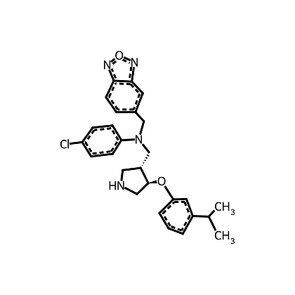 CC(C)c1cccc(O[C@H]2CNC[C@@H]2CN(Cc2ccc3nonc3c2)c2ccc(Cl)cc2)c1